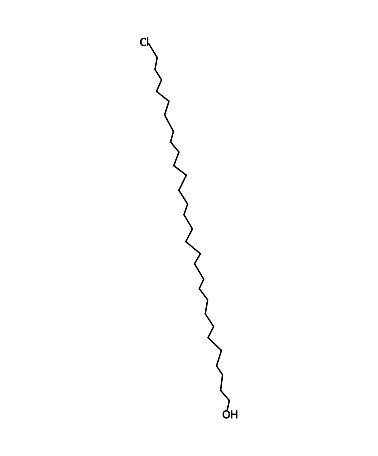 OCCCCCCCCCCCCCCCCCCCCCCCCCCCCCCl